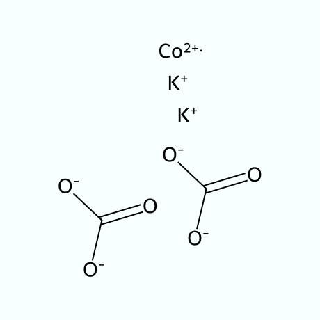 O=C([O-])[O-].O=C([O-])[O-].[Co+2].[K+].[K+]